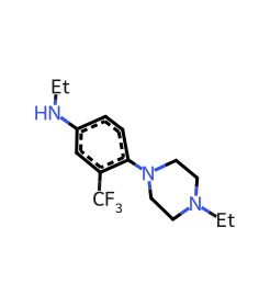 CCNc1ccc(N2CCN(CC)CC2)c(C(F)(F)F)c1